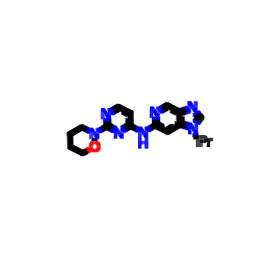 CC(C)n1cnc2cnc(Nc3ccnc(N4CCCCO4)n3)cc21